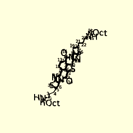 CCCCCCCCNCCCc1cc2c(nc3c4ccc5c(=O)n6c7cc(CCCNCCCCCCCC)sc7nc6c6sc(c(=O)n23)c4c56)s1